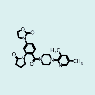 Cc1cnc(N2CCN(C(=O)c3ccc(N4CCOC4=O)cc3N3CCCC3=O)CC2)c(C)c1